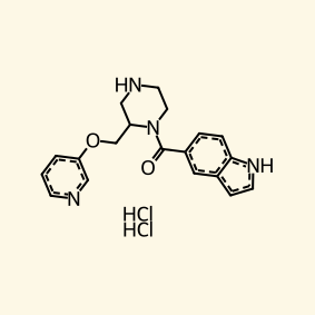 Cl.Cl.O=C(c1ccc2[nH]ccc2c1)N1CCNCC1COc1cccnc1